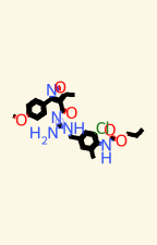 CCCOC(=O)Nc1c(C)cc(CN/C(N)=N\C(=O)c2c(-c3ccc(OC)cc3)noc2C)cc1Cl